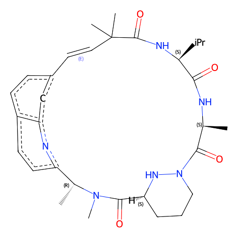 CC(C)[C@@H]1NC(=O)C(C)(C)/C=C/c2ccc3ccc(nc3c2)[C@@H](C)N(C)C(=O)[C@@H]2CCCN(N2)C(=O)[C@H](C)NC1=O